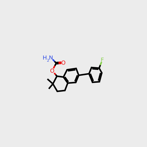 CC1(C)CCc2cc(-c3cccc(F)c3)ccc2C1OC(N)=O